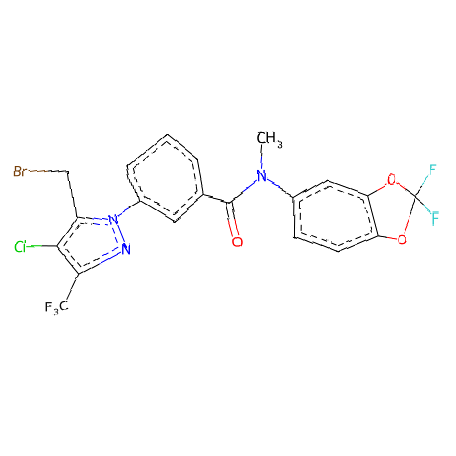 CN(C(=O)c1cccc(-n2nc(C(F)(F)F)c(Cl)c2CBr)c1)c1ccc2c(c1)OC(F)(F)O2